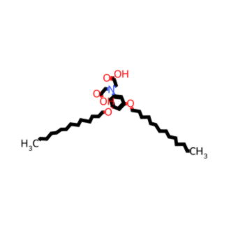 CCCCCCCCCCCCCCOc1cc(OCCCCCCCCCCCCCC)cc(N(CC(=O)O)CC(=O)O)c1